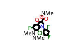 CNOC(=O)c1cn(-c2cc(NC)c(F)cc2F)c2c(Cl)c(NC)c(F)cc2c1=O